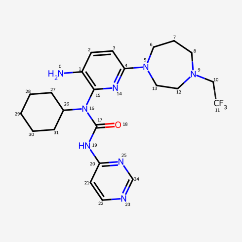 Nc1ccc(N2CCCN(CC(F)(F)F)CC2)nc1N(C(=O)Nc1ccncn1)C1CCCCC1